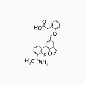 C[C@@H](N)c1cccc(-c2cc(COc3ccccc3CC(=O)O)cc3ccoc23)c1F